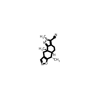 C[C@@H]1c2oncc2C[C@]2(C)c3nn(C)c(C#N)c3CC[C@@H]12